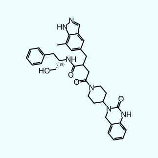 Cc1cc(CC(CC(=O)N2CCC(N3Cc4ccccc4NC3=O)CC2)C(=O)N[C@H](CO)Cc2ccccc2)cc2cn[nH]c12